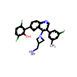 CCCNCC1CN(c2c(-c3cc(C)cc(F)c3)cnc3ccc(-c4c(F)ccc(F)c4O)cc23)C1